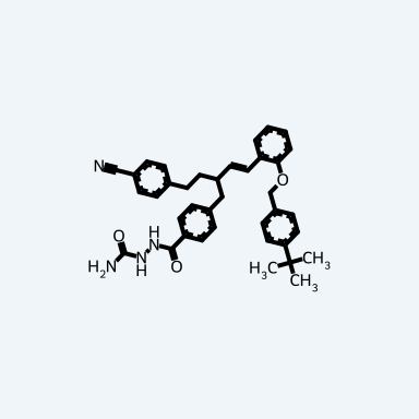 CC(C)(C)c1ccc(COc2ccccc2C=CC(CCc2ccc(C#N)cc2)Cc2ccc(C(=O)NNC(N)=O)cc2)cc1